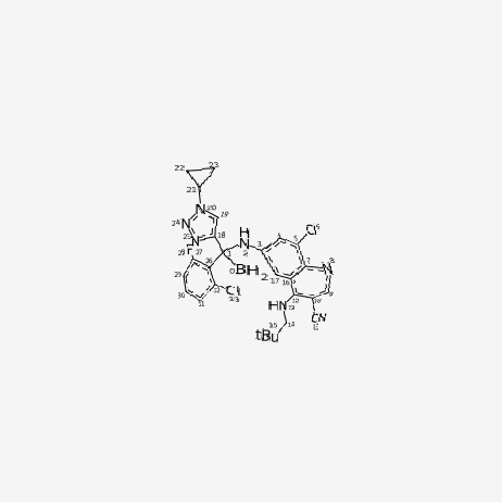 BC(Nc1cc(Cl)c2ncc(C#N)c(NCC(C)(C)C)c2c1)(c1cn(C2CC2)nn1)c1c(F)cccc1Cl